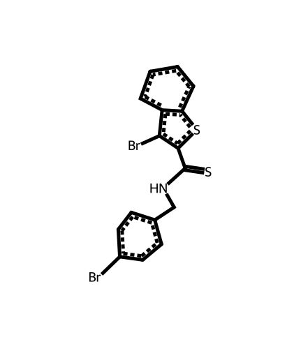 S=C(NCc1ccc(Br)cc1)c1sc2ccccc2c1Br